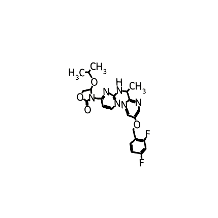 CC(C)OC1COC(=O)N1c1ccnc(NC(C)c2ncc(OCc3ccc(F)cc3F)cn2)n1